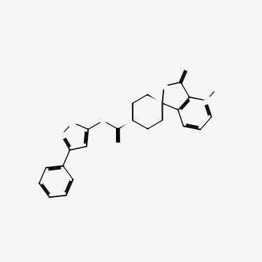 O=C1O[C@]2(CC[C@H](C(=O)Nc3cc(-c4ccccc4)no3)CC2)c2ccc[n+]([O-])c21